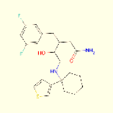 NC(=O)CC(Cc1cc(F)cc(F)c1)C(O)CNC1(c2ccsc2)CCCCC1